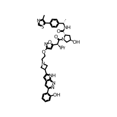 Cc1ncsc1-c1ccc([C@H](C)NC(=O)[C@@H]2C[C@@H](O)CN2C(=O)[C@H](c2cc(OCCN3CC(c4cc5cc(-c6ccccc6O)nnc5[nH]4)C3)no2)C(C)C)cc1